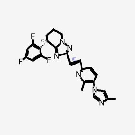 Cc1cn(-c2ccc(/C=C/c3nc4n(n3)CCC[C@H]4c3c(F)cc(F)cc3F)nc2C)cn1